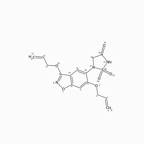 C=CCOc1cc2onc(OCC=C)c2cc1N1CC(=O)NS1(=O)=O